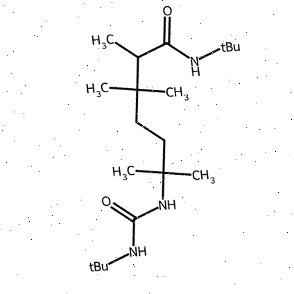 CC(C(=O)NC(C)(C)C)C(C)(C)CCC(C)(C)NC(=O)NC(C)(C)C